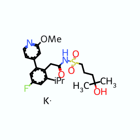 COc1cc(-c2cc(F)cc(C(C)C)c2CC(=O)NS(=O)(=O)CCCC(C)(C)O)ccn1.[K]